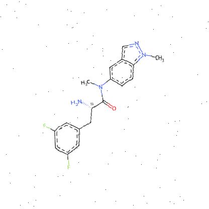 CN(C(=O)[C@@H](N)Cc1cc(F)cc(F)c1)c1ccc2c(cnn2C)c1